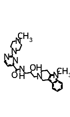 CN1CCN(c2nccc(C(=O)NCC(O)CN3CCc4c(c5ccccc5n4C)C3)n2)CC1